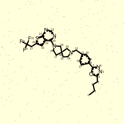 CCCCc1nnc(-c2ccc(CN3CCC4(CCN(c5ncnc6sc(CC(F)(F)F)cc56)C4)C3)cc2)o1